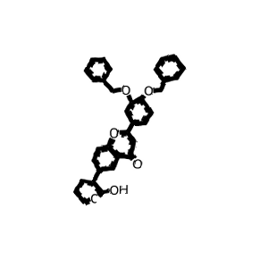 O=c1cc(-c2ccc(OCc3ccccc3)c(OCc3ccccc3)c2)oc2ccc(-c3ccccc3O)cc12